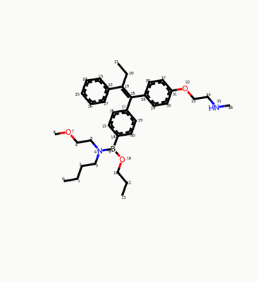 CCCCN(CCOC)B(OCCC)c1ccc(C(=C(CC)c2ccccc2)c2ccc(OCCNC)cc2)cc1